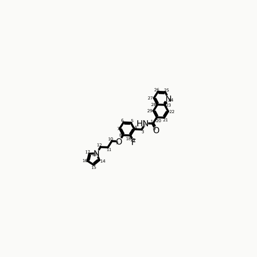 O=C(NCc1cccc(OCCCn2cccc2)c1F)c1ccc2ncccc2c1